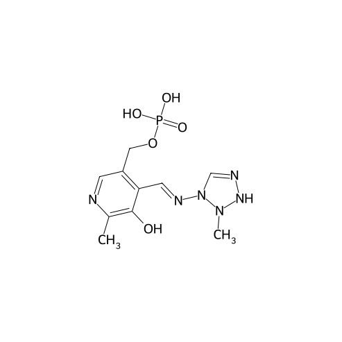 Cc1ncc(COP(=O)(O)O)c(C=NN2C=NNN2C)c1O